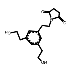 O=C1CCC(=O)N1CCc1cc(CCO)cc(CCO)c1